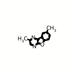 Cc1ccc2oc3ncc(C)nc3c2c1